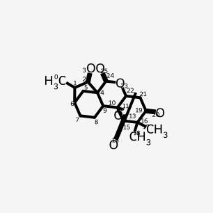 CC1C(=O)C23CC1CCC2C12COC(=O)C1C(C)(C)C(=O)CC2OC3=O